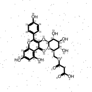 O=C(O)CC(=O)OC[C@H]1O[C@@H](Oc2c(-c3ccc(O)cc3)oc3cc(O)cc(O)c3c2=O)[C@H](O)[C@@H](O)[C@@H]1O